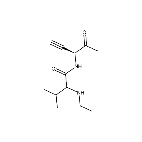 C#C[C@H](NC(=O)C(NCC)C(C)C)C(C)=O